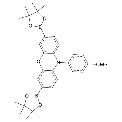 COc1ccc(N2c3ccc(B4OC(C)(C)C(C)(C)O4)cc3Oc3cc(B4OC(C)(C)C(C)(C)O4)ccc32)cc1